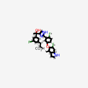 Cc1c(Oc2ccc(F)c(-c3nc(C(C)(O)c4cc(F)cc(CCC(=O)O)c4)c[nH]3)c2)c(F)cc2[nH]ccc12